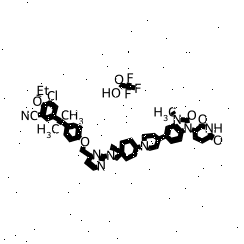 CCOc1c(Cl)cc(C(C)(C)c2ccc(OCc3ccnc(N4CC5(CCC(N6CCC(c7ccc8c(c7)n(C)c(=O)n8C7CCC(=O)NC7=O)CC6)CC5)C4)n3)cc2)cc1C#N.O=C(O)C(F)(F)F